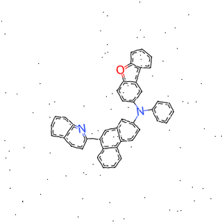 c1ccc(N(c2ccc3c(c2)cc(-c2ccc4ccccc4n2)c2ccccc23)c2ccc3oc4ccccc4c3c2)cc1